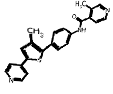 Cc1cnccc1C(=O)Nc1ccc(-c2sc(-c3ccncc3)cc2C)cc1